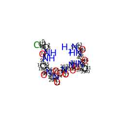 Cc1ccc(NC(=O)NCc2ccc3c(c2)CN([C@H]2CCC(=O)N(COC(=O)N(C)CCN(C)C(=O)OCc4ccccc4NC(=O)CCNC(=O)[C@H](C)N)C2=O)C3=O)cc1Cl